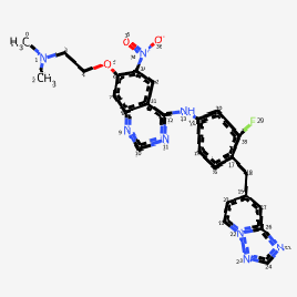 CN(C)CCOc1cc2ncnc(Nc3ccc(Cc4ccn5ncnc5c4)c(F)c3)c2cc1[N+](=O)[O-]